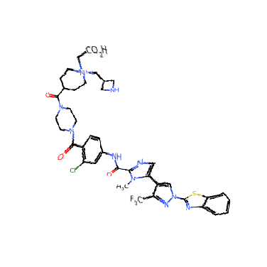 Cn1c(-c2cn(-c3nc4ccccc4s3)nc2C(F)(F)F)cnc1C(=O)Nc1ccc(C(=O)N2CCN(C(=O)C3CC[N+](CC(=O)O)(CC4CNC4)CC3)CC2)c(Cl)c1